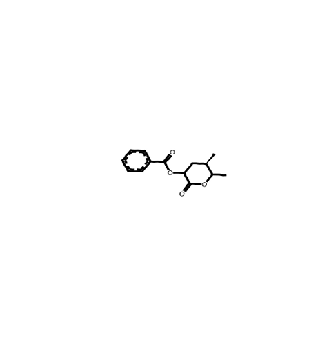 CC1OC(=O)C(OC(=O)c2ccccc2)C[C@H]1C